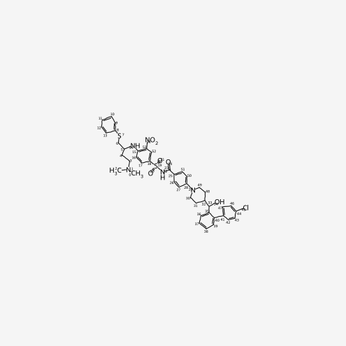 CN(C)CCC(CSc1ccccc1)Nc1ccc(S(=O)(=O)NC(=O)c2ccc(N3CCC(C(O)c4ccccc4-c4ccc(Cl)cc4)CC3)cc2)cc1[N+](=O)[O-]